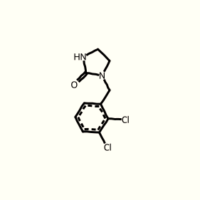 O=C1NCCN1Cc1cccc(Cl)c1Cl